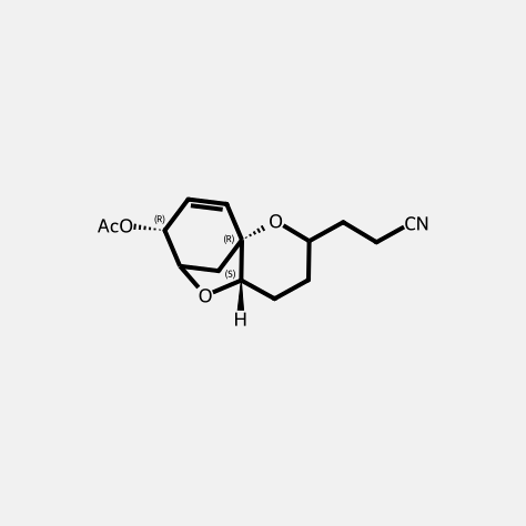 CC(=O)O[C@@H]1C=C[C@]23CC1O[C@H]2CCC(CCC#N)O3